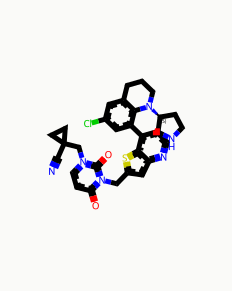 N#CC1(Cn2ccc(=O)n(Cc3cc4nccc(-c5cc(Cl)cc6c5N([C@H]5CCNC5)CCC6)c4s3)c2=O)CC1